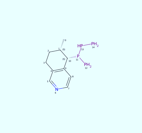 C[C@H]1CCc2cnccc2[C@H]1P(P)PP